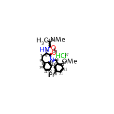 CNC(C)C(=O)NC1CCc2ccccc2N(Cc2cc(C(C)C)ccc2OC)C1=O.Cl